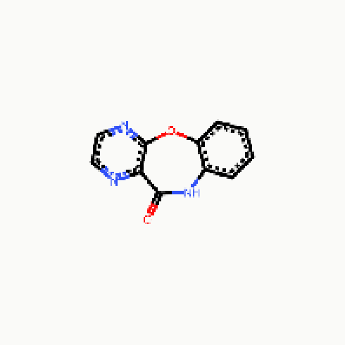 O=C1Nc2ccccc2Oc2nccnc21